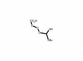 CCCCC(CCC)OOOC(=O)O